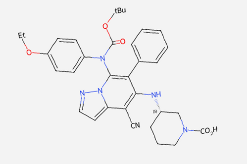 CCOc1ccc(N(C(=O)OC(C)(C)C)c2c(-c3ccccc3)c(N[C@H]3CCCN(C(=O)O)C3)c(C#N)c3ccnn23)cc1